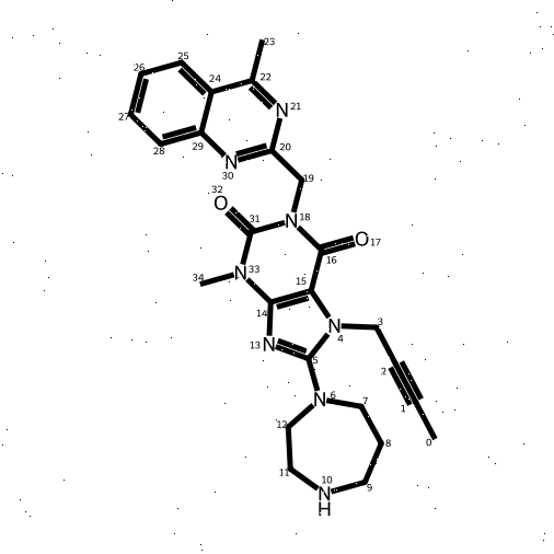 CC#CCn1c(N2CCCNCC2)nc2c1c(=O)n(Cc1nc(C)c3ccccc3n1)c(=O)n2C